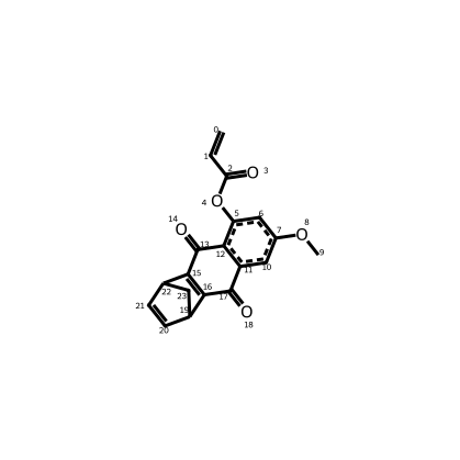 C=CC(=O)Oc1cc(OC)cc2c1C(=O)C1=C(C2=O)C2C=CC1C2